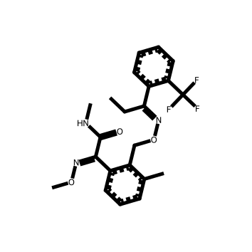 CC/C(=N\OCc1c(C)cccc1/C(=N\OC)C(=O)NC)c1ccccc1C(F)(F)F